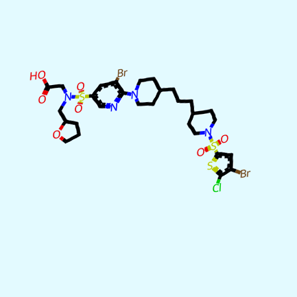 O=C(O)CN(CC1CCCO1)S(=O)(=O)c1cnc(N2CCC(CCCC3CCN(S(=O)(=O)c4cc(Br)c(Cl)s4)CC3)CC2)c(Br)c1